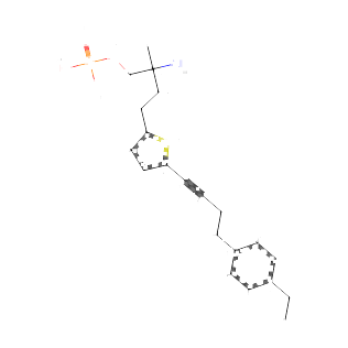 CCc1ccc(CCC#Cc2ccc(CCC(C)(N)COP(=O)(O)O)s2)cc1